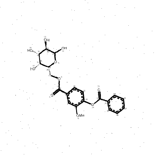 COc1cc(C(=O)OC[C@H]2OC(O)[C@H](O)[C@@H](O)[C@H]2O)ccc1OC(=O)c1ccccc1